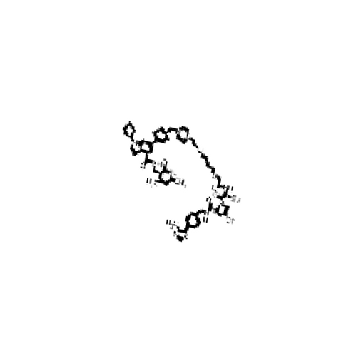 Cc1cc(C)c(CNC(=O)c2cc(-c3ccc(CN4CCN(CCOCCCCOCC(=O)N[C@H](C(=O)N5C[C@H](O)C[C@H]5C(=O)NCc5ccc(-c6scnc6C)cc5)C(C)(C)C)CC4)cc3)cc3c2ccn3C2CCCC2)c(=O)[nH]1